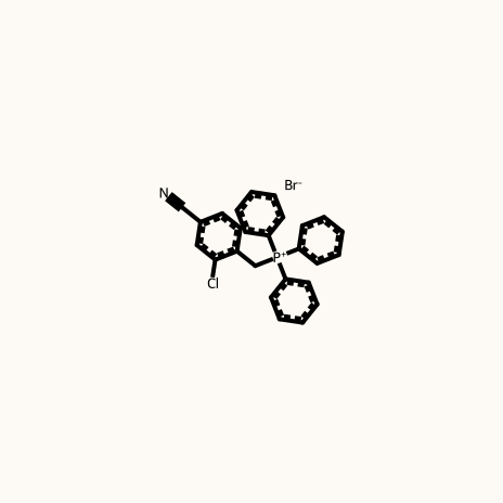 N#Cc1ccc(C[P+](c2ccccc2)(c2ccccc2)c2ccccc2)c(Cl)c1.[Br-]